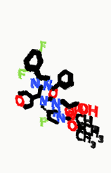 CC(C)(C)OC(=O)N1C[C@@H](CN(C(=O)NC[C@@H](O)CO)[C@@H](c2nc(-c3cc(F)ccc3F)cn2Cc2ccccc2)C2CCOCC2)[C@@H](F)C1